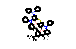 CC(C)c1cc(C(C)C)c(B2c3ccccc3N(c3ccccc3)c3cc4c(cc32)B2c3ccccc3N(c3ccccc3)c3cc(N(c5ccccc5)c5ccccc5)cc(c32)S4)c(C(C)C)c1